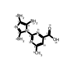 Bc1nc(B)n(-c2nc(C)cc(C(=O)O)n2)c1B